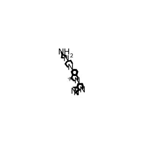 C[C@H]1CN(c2ccnc3c2cnn3C)Cc2ccc(N3CCC(N4CC(N)C4)CC3)cc21